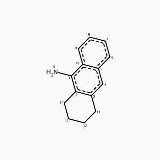 Nc1c2c(cc3ccccc13)CCCC2